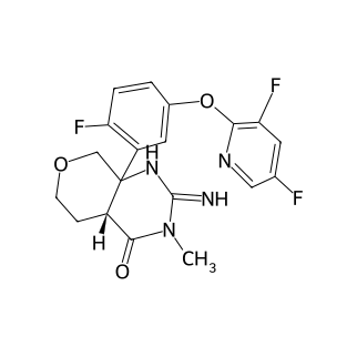 CN1C(=N)NC2(c3cc(Oc4ncc(F)cc4F)ccc3F)COCC[C@H]2C1=O